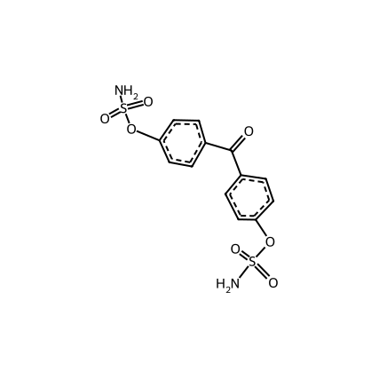 NS(=O)(=O)Oc1ccc(C(=O)c2ccc(OS(N)(=O)=O)cc2)cc1